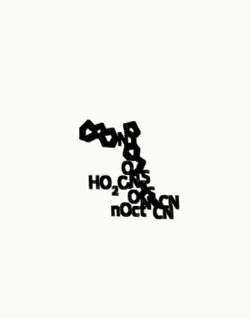 CCCCCCCCn1c(=C(C#N)C#N)s/c(=c2\s/c(=C/c3ccc4c(c3)C3CCCC3N4c3ccc4c(c3)Cc3ccccc3-4)c(=O)n2CC(=O)O)c1=O